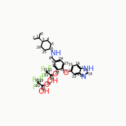 CC(C)[C@H]1CC[C@H](NCc2ccc(Oc3ccc4[nH]cnc4c3)cc2)CC1.O=C(O)C(F)(F)F.O=C(O)C(F)(F)F